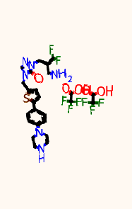 NCC(Cn1ncn(Cc2ccc(-c3ccc(N4CCNCC4)cc3)s2)c1=O)=C(F)F.O=C(O)C(F)(F)F.O=C(O)C(F)(F)F